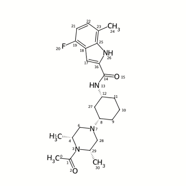 CC(=O)N1[C@H](C)CN([C@H]2CCC[C@@H](NC(=O)c3cc4c(F)ccc(C)c4[nH]3)C2)C[C@@H]1C